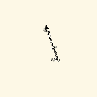 CC[C@@H](N)CSSCCC(=O)NCCOCCOCCn1cc(C)nn1